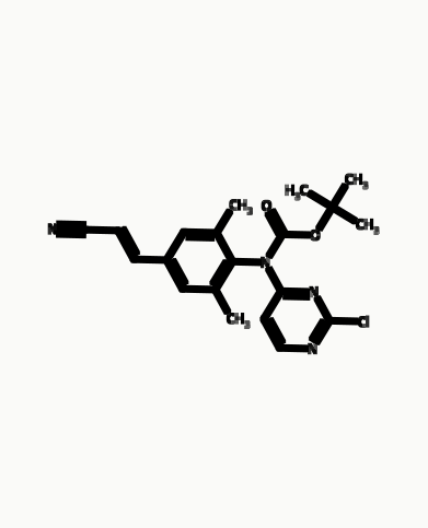 Cc1cc(/C=C/C#N)cc(C)c1N(C(=O)OC(C)(C)C)c1ccnc(Cl)n1